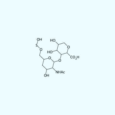 CC(=O)NC1C(O)CC(COSO)OC1OC1C(C(=O)O)OCC(O)C1O